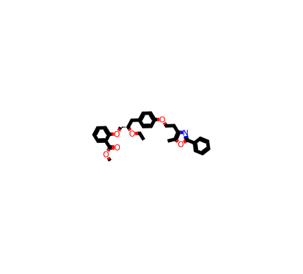 CCO[C@H](COc1ccccc1C(=O)OC)Cc1ccc(OCCc2nc(-c3ccccc3)oc2C)cc1